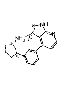 N[C@H]1CCC[C@@H]1c1cccc(-c2ccnc3[nH]nc(C(F)(F)F)c23)c1